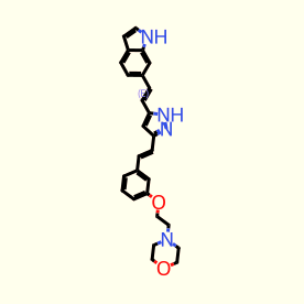 C(=Cc1cc(/C=C/c2ccc3cc[nH]c3c2)[nH]n1)c1cccc(OCCN2CCOCC2)c1